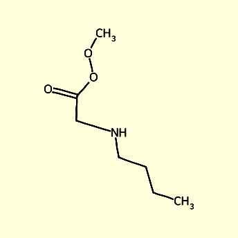 CCCCNCC(=O)OOC